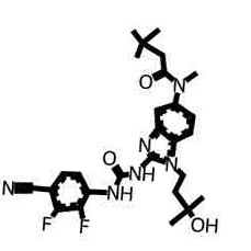 CN(C(=O)CC(C)(C)C)c1ccc2c(c1)nc(NC(=O)Nc1ccc(C#N)c(F)c1F)n2CCC(C)(C)O